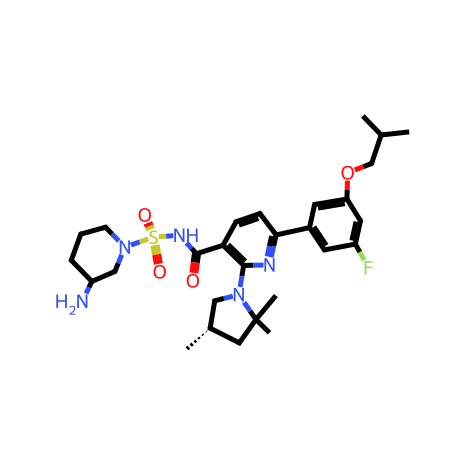 CC(C)COc1cc(F)cc(-c2ccc(C(=O)NS(=O)(=O)N3CCCC(N)C3)c(N3C[C@@H](C)CC3(C)C)n2)c1